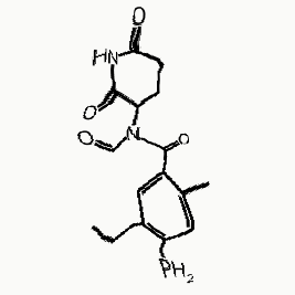 CCc1cc(C(=O)N(C=O)C2CCC(=O)NC2=O)c(C)cc1P